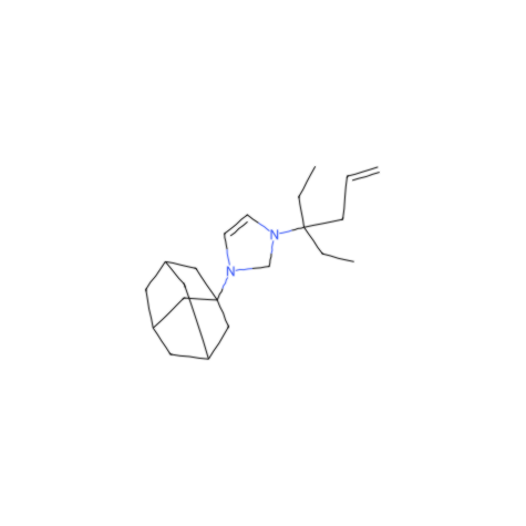 C=CCC(CC)(CC)N1C=CN(C23CC4CC(CC(C4)C2)C3)C1